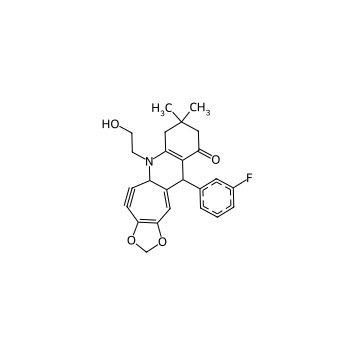 CC1(C)CC(=O)C2=C(C1)N(CCO)C1C#CC3=C(C=C1C2c1cccc(F)c1)OCO3